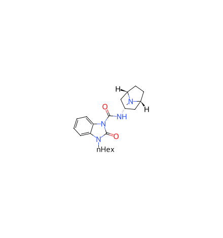 CCCCCCn1c(=O)n(C(=O)N[C@H]2C[C@H]3CC[C@@H](C2)N3C)c2ccccc21